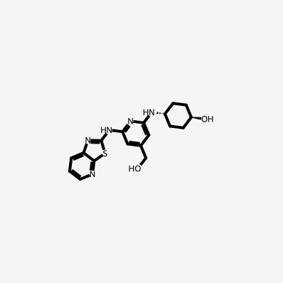 OCc1cc(Nc2nc3cccnc3s2)nc(N[C@H]2CC[C@H](O)CC2)c1